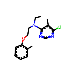 CCN(CCOc1ccccc1C)c1ncnc(Cl)c1C